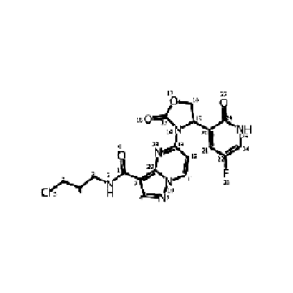 O=C(NCCCCl)c1cnn2ccc(N3C(=O)OCC3c3cc(F)c[nH]c3=O)nc12